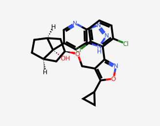 O[C@]1(c2cnc3nn[nH]c3c2)[C@@H]2CC[C@H]1C[C@@H](OCc1c(-c3c(Cl)cccc3Cl)noc1C1CC1)C2